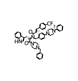 O=C([C@H](Cc1c[nH]c2ccccc12)N(Cc1ccc(N2CCN(c3ccccc3)CC2)cc1)C(=O)/C=C/c1ccc(C(F)(F)F)cc1)N1CCN(Cc2ccccc2)CC1